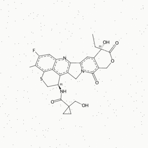 CC[C@@]1(O)C(=O)OCc2c1cc1n(c2=O)Cc2c-1nc1cc(F)c(C)c3c1c2[C@@H](NC(=O)C1(CO)CC1)CS3